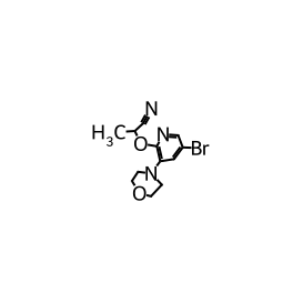 CC(C#N)Oc1ncc(Br)cc1N1CCOCC1